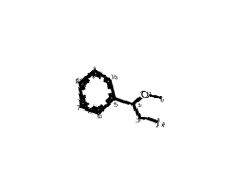 COC(CI)c1ccccc1